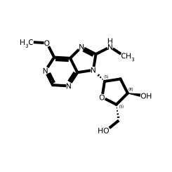 CNc1nc2c(OC)ncnc2n1[C@@H]1C[C@@H](O)[C@H](CO)O1